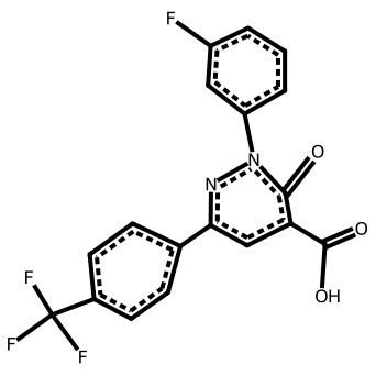 O=C(O)c1cc(-c2ccc(C(F)(F)F)cc2)nn(-c2cccc(F)c2)c1=O